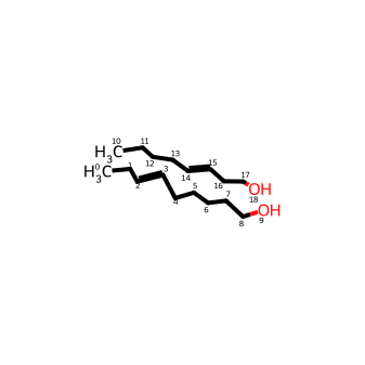 CCC=CCCCCCO.CCCCC=CCCO